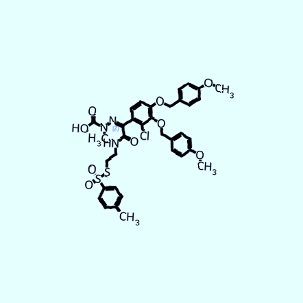 COc1ccc(COc2ccc(/C(=N/N(C)C(=O)O)C(=O)NCCSS(=O)(=O)c3ccc(C)cc3)c(Cl)c2OCc2ccc(OC)cc2)cc1